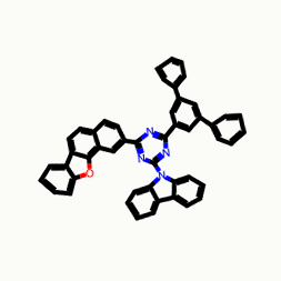 c1ccc(-c2cc(-c3ccccc3)cc(-c3nc(-c4ccc5ccc6c7ccccc7oc6c5c4)nc(-n4c5ccccc5c5ccccc54)n3)c2)cc1